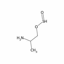 CC(N)CO[SH]=O